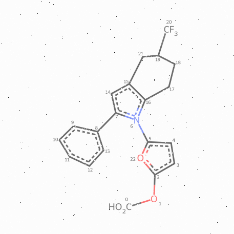 O=C(O)Oc1ccc(-n2c(-c3ccccc3)cc3c2CCC(C(F)(F)F)C3)o1